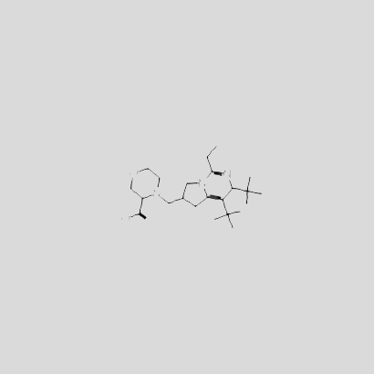 CCC1=NC(C(C)(C)C)C(C(C)(C)C)=C2CC(CN3CCOCC3C(=O)O)CN12